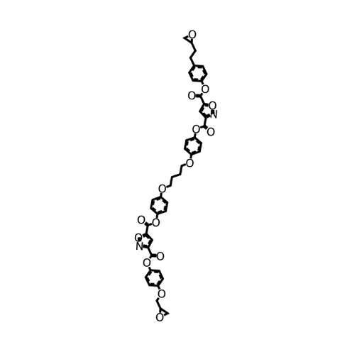 O=C(Oc1ccc(OCCCCOc2ccc(OC(=O)c3cc(C(=O)Oc4ccc(OCC5CO5)cc4)no3)cc2)cc1)c1cc(C(=O)Oc2ccc(CCC3CO3)cc2)on1